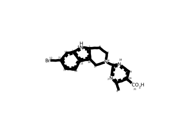 Cc1nc(N2CCc3[nH]c4cc(Br)ccc4c3C2)ncc1C(=O)O